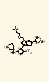 C[Si](C)(C)CCOCn1cc(-c2nc(N[C@H]3CCCNC3)ncc2C(F)(F)F)c2ccc(/C(N)=N/O)cc21